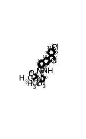 CC(C)[C](C=O)N1[C@@H](C)CC[C@H]1c1nc2ccc3cc4c(cc3c2[nH]1)OCc1cc(Cl)ccc1-4